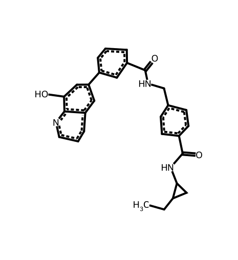 CCC1CC1NC(=O)c1ccc(CNC(=O)c2cccc(-c3cc(O)c4ncccc4c3)c2)cc1